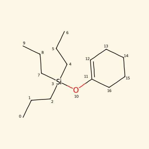 CCC[Si](CCC)(CCC)OC1=CCCCC1